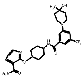 CC1(O)CCN(c2cc(C(=O)NC3CCC(Oc4ncccc4C(N)=O)CC3)cc(C(F)(F)F)c2)CC1